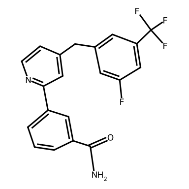 NC(=O)c1cccc(-c2cc(Cc3cc(F)cc(C(F)(F)F)c3)ccn2)c1